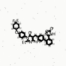 CCCc1nc(CC)n(-c2ccc(OC3CCC(F)(F)CC3)cc2)c(=O)c1Cc1ccc(-c2ccccc2-c2noc(=O)[nH]2)cc1